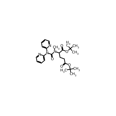 CN(C(=O)N(c1ccccn1)c1ccccn1)C(CCC(=O)OC(C)(C)C)C(=O)OC(C)(C)C